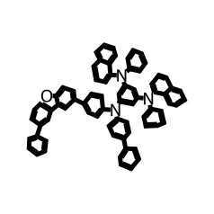 c1ccc(-c2ccc(N(c3ccc(-c4ccc5oc6ccc(-c7ccccc7)cc6c5c4)cc3)c3cc(N(c4ccccc4)c4cccc5ccccc45)cc(N(c4ccccc4)c4cccc5ccccc45)c3)cc2)cc1